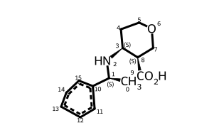 C[C@H](N[C@H]1CCOC[C@H]1C(=O)O)c1ccccc1